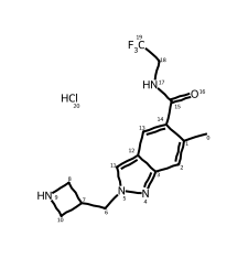 Cc1cc2nn(CC3CNC3)cc2cc1C(=O)NCC(F)(F)F.Cl